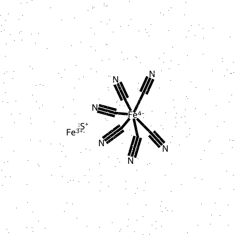 N#[C][Fe-4]([C]#N)([C]#N)([C]#N)([C]#N)[C]#N.[Fe+3].[S+]